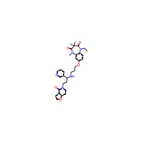 CCN1C(=O)C(C)(C)C(=O)N(C)c2cc(OCCCNC(CCn3ccc4occc4c3=O)c3cccnc3)ccc21